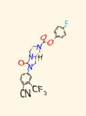 N#Cc1ccc(N2C[C@@H]3CN(C(=O)Oc4ccc(F)cc4)CCN3C2=O)cc1C(F)(F)F